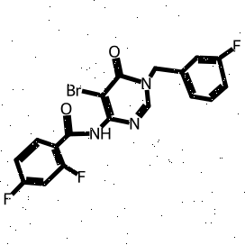 O=C(Nc1ncn(Cc2cccc(F)c2)c(=O)c1Br)c1ccc(F)cc1F